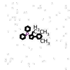 CCC1=C(P(c2ccccc2)c2ccccc2)CC=C1c1cc(C)cc(C)c1